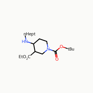 CCCCCCCNC1CCN(C(=O)OC(C)(C)C)CC1C(=O)OCC